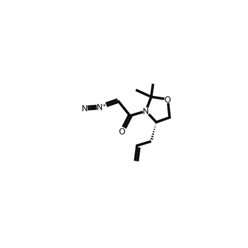 C=CC[C@H]1COC(C)(C)N1C(=O)C=[N+]=[N-]